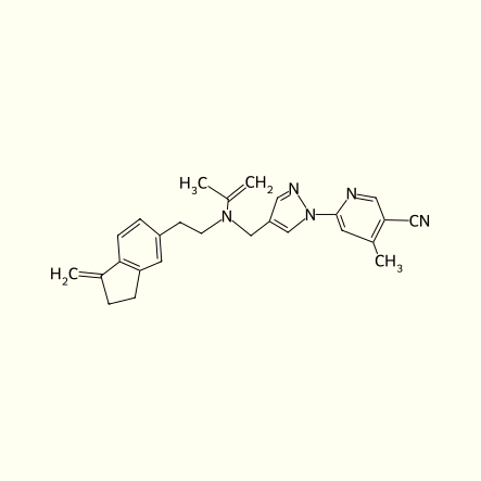 C=C1CCc2cc(CCN(Cc3cnn(-c4cc(C)c(C#N)cn4)c3)C(=C)C)ccc21